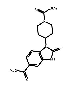 COC(=O)c1ccc2c(c1)[nH]c(=O)n2C1CCN(C(=O)OC)CC1